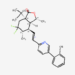 C[C@H]1OC(=O)[C@]2(C(C)(C)C(=O)O)CC(F)(F)[C@@H](C)[C@H](/C=C/c3ccc(-c4ccccc4C#N)cn3)[C@H]12